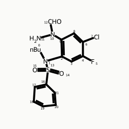 CCCCN(c1cc(F)c(Cl)cc1N(N)C=O)S(=O)(=O)c1ccccc1